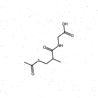 CC(=O)SCC(C)C(=O)NCC(=O)O